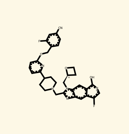 N#Cc1ccc(COc2cccc(C3CCN(Cc4nc5cc6c(F)cnc(O)c6cc5n4C[C@@H]4CCO4)CC3)n2)c(F)c1